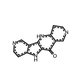 O=c1c2cnccc2[nH]c2c1[nH]c1ccncc12